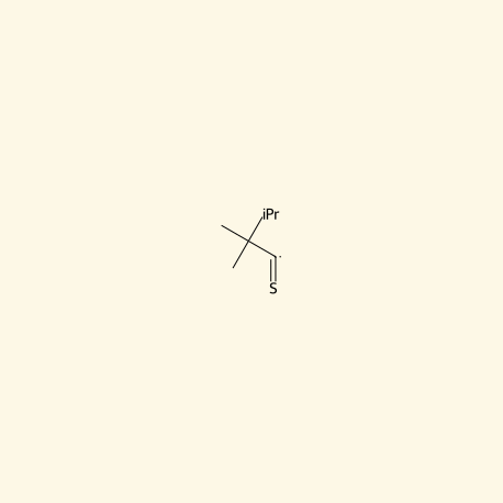 CC(C)C(C)(C)[C]=S